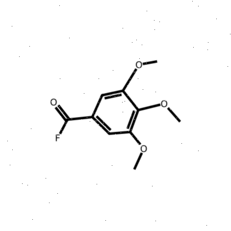 COc1cc(C(=O)F)cc(OC)c1OC